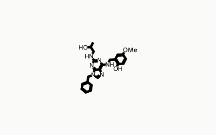 COc1ccc(O)c(CNc2nc(NCC(C)O)nc3c2ncn3Cc2ccccc2)c1